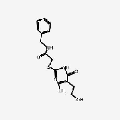 Cc1nc(SCC(=O)NCc2ccccc2)[nH]c(=O)c1CCO